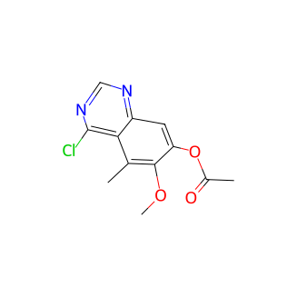 COc1c(OC(C)=O)cc2ncnc(Cl)c2c1C